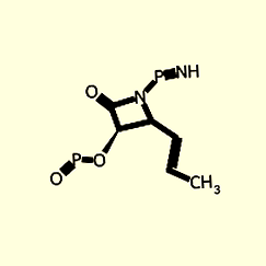 C/C=C/C1[C@@H](OP=O)C(=O)N1P=N